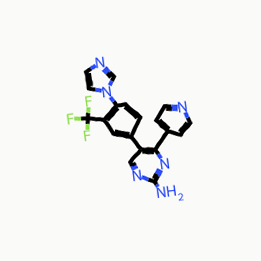 Nc1ncc(-c2ccc(-n3ccnc3)c(C(F)(F)F)c2)c(-c2ccncc2)n1